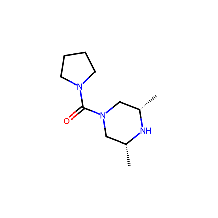 C[C@@H]1CN(C(=O)N2CCCC2)C[C@H](C)N1